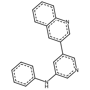 c1ccc(Nc2cncc(-c3cnc4ccccc4c3)c2)cc1